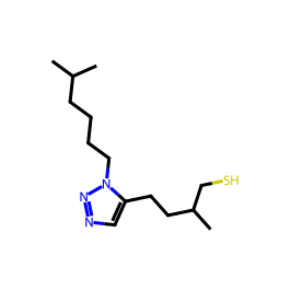 CC(C)CCCCn1nncc1CCC(C)CS